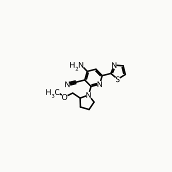 COCC1CCCN1c1nc(-c2nccs2)cc(N)c1C#N